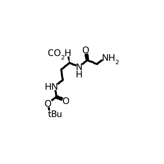 CC(C)(C)OC(=O)NCC[C@H](NC(=O)CN)C(=O)O